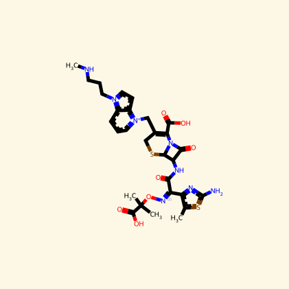 CNCCCn1ccc2c1ccc[n+]2CC1=C(C(=O)O)N2C(=O)C(NC(=O)/C(=N\OC(C)(C)C(=O)O)c3nc(N)sc3C)C2SC1